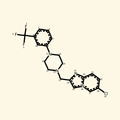 FC(F)(F)c1cccc(N2CCN(Cc3cn4cc(Cl)ccc4n3)CC2)c1